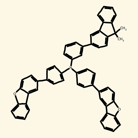 CC1(C)c2ccccc2-c2cc(-c3cccc(N(c4ccc(-c5ccc6oc7ccccc7c6c5)cc4)c4ccc(-c5ccc6oc7ccccc7c6c5)cc4)c3)ccc21